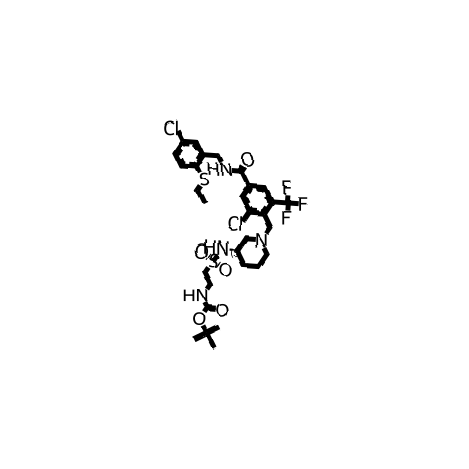 CCSc1ccc(Cl)cc1CNC(=O)c1cc(Cl)c(CN2CCC[C@H](NS(=O)(=O)CCNC(=O)OC(C)(C)C)C2)c(C(F)(F)F)c1